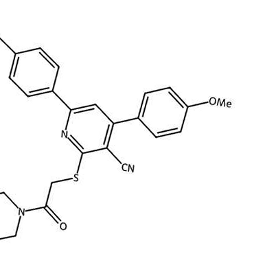 COc1ccc(-c2cc(-c3ccc(Br)cc3)nc(SCC(=O)N3CCOCC3)c2C#N)cc1